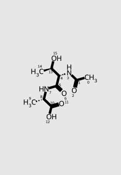 CC(=O)N[C@H](C(=O)N[C@@H](C)C(=O)O)[C@@H](C)O